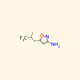 CC(Cc1cc(N)no1)C(F)(F)F